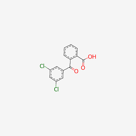 O=C(O)c1ccccc1C(=O)c1cc(Cl)cc(Cl)c1